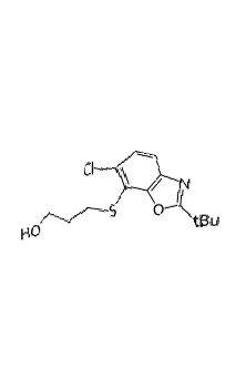 CC(C)(C)c1nc2ccc(Cl)c(SCCCO)c2o1